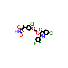 CC(=C1SC(=O)NC1=O)c1ccc(OCCOc2c(-c3ccc(F)c(F)c3)n(C)c3cc(Cl)ccc3c2=O)c(Cl)c1